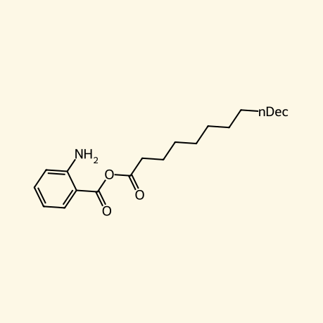 CCCCCCCCCCCCCCCCCC(=O)OC(=O)c1ccccc1N